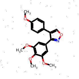 COc1ccc(-c2conc2-c2cc(OC)c(OC)c(OC)c2)cc1